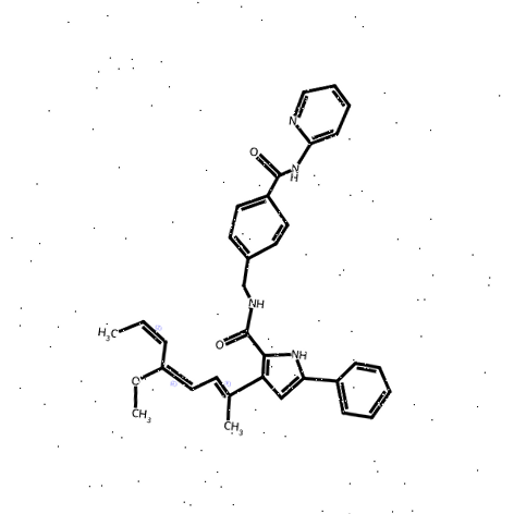 C\C=C/C(=C\C=C(/C)c1cc(-c2ccccc2)[nH]c1C(=O)NCc1ccc(C(=O)Nc2ccccn2)cc1)OC